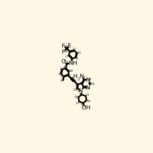 Cc1ccc(C(=O)Nc2cccc(C(F)(F)F)c2)cc1C#Cc1cn(C2CCC(O)CC2)c2ncnc(N)c12